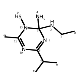 CCNC1(N)N=C(C(C)C)N=C(C)N1S